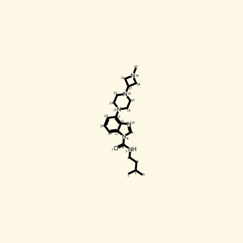 CC(C)CCNC(=O)n1cnc2c(N3CCN(C4CN(C)C4)CC3)cccc21